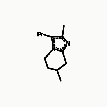 Cc1nc2n(c1C(C)C)CCC(C)C2